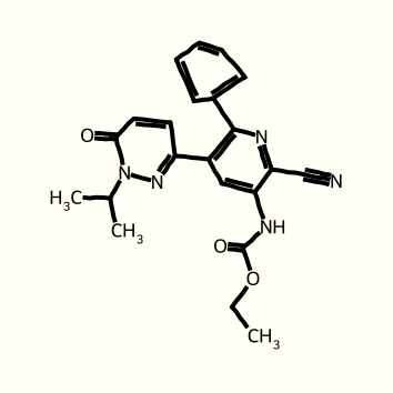 CCOC(=O)Nc1cc(-c2ccc(=O)n(C(C)C)n2)c(-c2ccccc2)nc1C#N